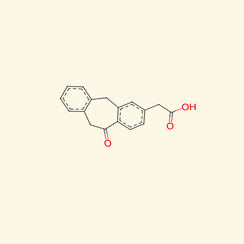 O=C(O)Cc1ccc2c(c1)Cc1ccccc1CC2=O